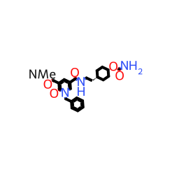 CNC(=O)c1cc(C(=O)NCC[C@H]2CC[C@@H](OC(N)=O)CC2)cn(Cc2ccccc2)c1=O